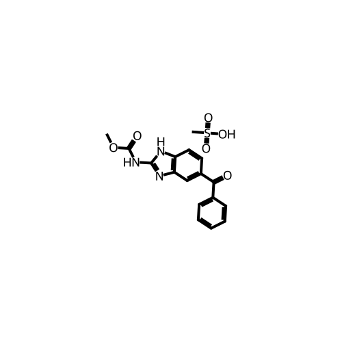 COC(=O)Nc1nc2cc(C(=O)c3ccccc3)ccc2[nH]1.CS(=O)(=O)O